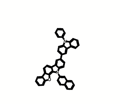 c1ccc(-n2c3ccccc3c3cc(-c4ccc5c(c4)c4ccc6c7ccccc7oc6c4n5-c4ccc5ccccc5c4)ccc32)cc1